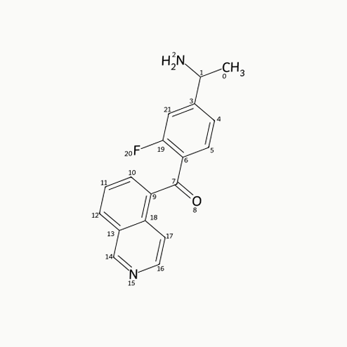 CC(N)c1ccc(C(=O)c2cccc3cnccc23)c(F)c1